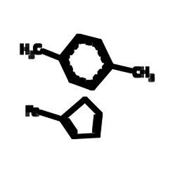 Cc1ccc(C)cc1.[Fe][C]1=CC=CC1